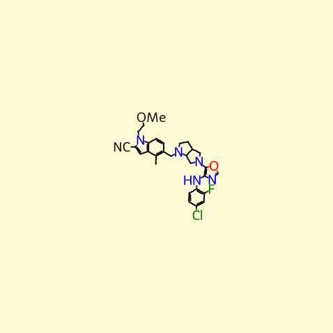 COCCn1c(C#N)cc2c(C)c(CN3CCC4CN(c5ocnc5Nc5ccc(Cl)cc5F)CC43)ccc21